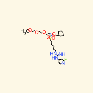 COCCOCCOCCN(OCC1CCCCC1)S(=O)(=O)CCCCCCNC(=N)Nc1ccnc(F)c1